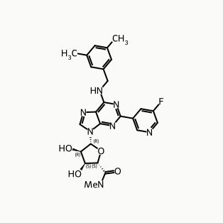 CNC(=O)[C@H]1O[C@@H](n2cnc3c(NCc4cc(C)cc(C)c4)nc(-c4cncc(F)c4)nc32)[C@H](O)[C@@H]1O